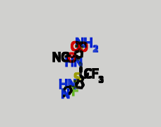 CN1CCC(Nc2cccc3c(CC(F)(F)F)c(C#CCNc4ccc(S(N)(=O)=O)cc4OCC#N)sc23)C(F)C1